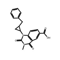 Cn1c(=O)c2cc(C(=O)O)ccc2n(C2CC2Cc2ccccc2)c1=O